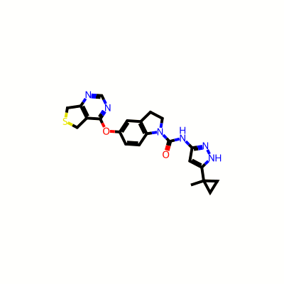 CC1(c2cc(NC(=O)N3CCc4cc(Oc5ncnc6c5CSC6)ccc43)n[nH]2)CC1